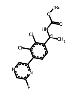 C[C@H](NC(=O)OC(C)(C)C)c1ccc(-c2cncc(F)n2)c(Cl)c1Cl